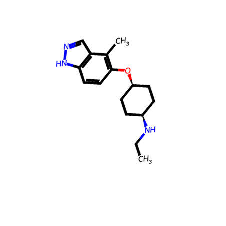 CCN[C@H]1CC[C@@H](Oc2ccc3[nH]ncc3c2C)CC1